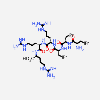 CC(C)C[C@H](NC(=O)[C@H](CC(C)C)NC(=O)[C@@H](N)CC(C)C)C(=O)N[C@@H](CCCNC(=N)N)C(=O)N[C@@H](CCCNC(=N)N)C(=O)N[C@@H](CCCNC(=N)N)C(=O)O